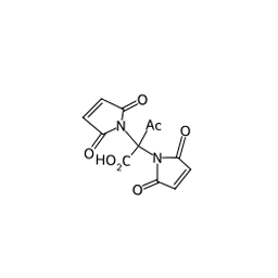 CC(=O)C(C(=O)O)(N1C(=O)C=CC1=O)N1C(=O)C=CC1=O